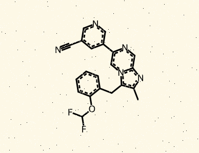 Cc1nc2cnc(-c3cncc(C#N)c3)cn2c1Cc1ccccc1OC(F)F